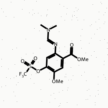 COC(=O)c1cc(OC)c(OS(=O)(=O)C(F)(F)F)cc1N=CN(C)C